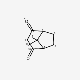 CC1(C)C2CCC1C(=O)CC2=O